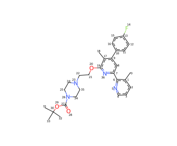 Cc1cccnc1-c1cc(-c2ccc(F)cc2)c(C)c(OCCN2CCN(C(=O)OC(C)(C)C)CC2)n1